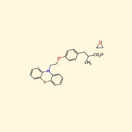 C1CO1.CC(Cc1ccc(OCCN2c3ccccc3Sc3ccccc32)cc1)C(=O)O